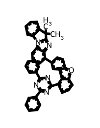 CC1(C)c2ccccc2-n2c1nc1c(-c3ccc4oc5cccc(-c6nc(-c7ccccc7)nc(-c7ccccc7)n6)c5c4c3)cccc12